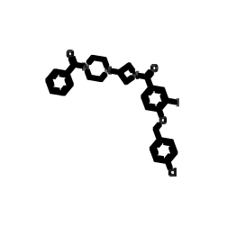 O=C(c1ccccc1)N1CCN(C2CN(C(=O)c3ccc(OCc4ccc(Cl)cc4)c(I)c3)C2)CC1